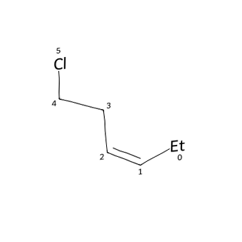 CC/C=C\CCCl